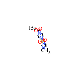 CN1C=CN(S(=O)(=O)N2CCN(C(=O)OC(C)(C)C)CC2)C1